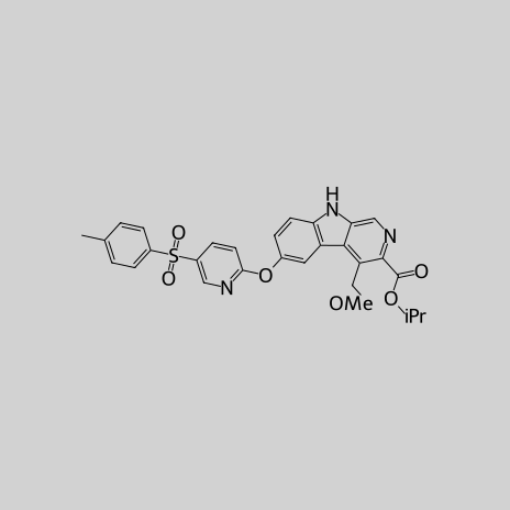 COCc1c(C(=O)OC(C)C)ncc2[nH]c3ccc(Oc4ccc(S(=O)(=O)c5ccc(C)cc5)cn4)cc3c12